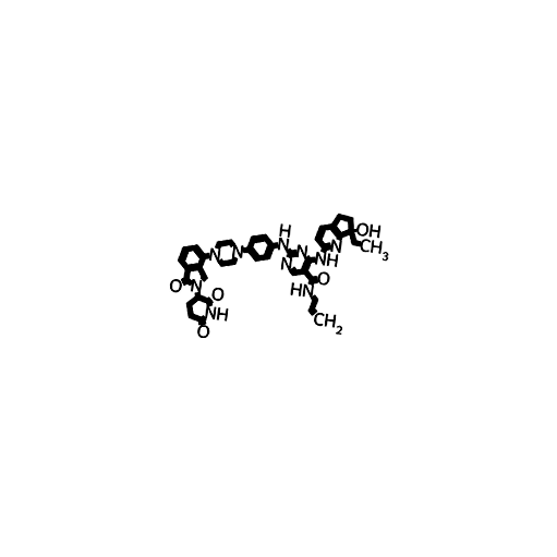 C=CCNC(=O)c1cnc(Nc2ccc(N3CCN(c4cccc5c4CN(C4CCC(=O)NC4=O)C5=O)CC3)cc2)nc1Nc1ccc2c(n1)[C@@](O)(CC)CC2